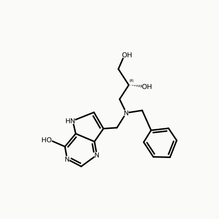 OC[C@H](O)CN(Cc1ccccc1)Cc1c[nH]c2c(O)ncnc12